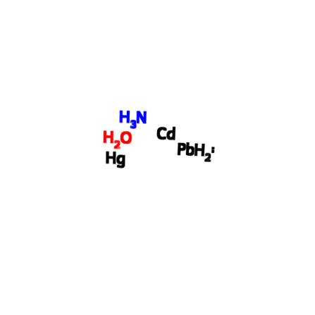 N.O.[Cd].[Hg].[PbH2]